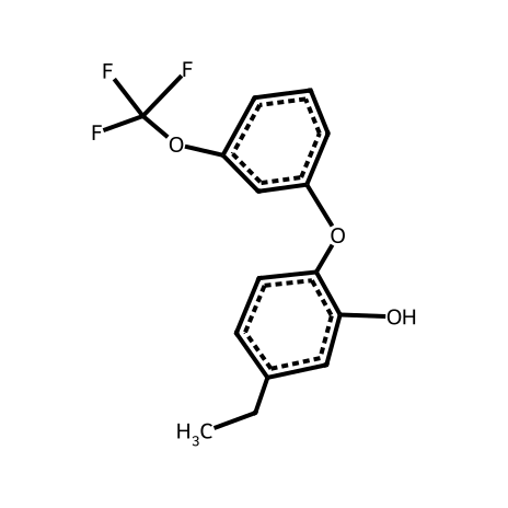 CCc1ccc(Oc2cccc(OC(F)(F)F)c2)c(O)c1